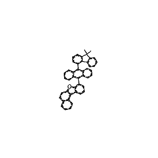 CC1(C)c2ccccc2-c2c(-c3c4ccccc4c(-c4cccc5c4oc4ccc6ccccc6c45)c4ccccc34)cccc21